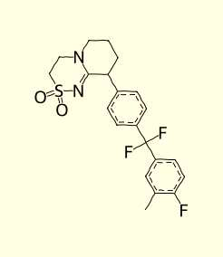 Cc1cc(C(F)(F)c2ccc(C3CCCN4CCS(=O)(=O)N=C34)cc2)ccc1F